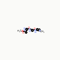 CCOC(=O)C1Nc2ccc(C(=O)NCc3cccc(C(=O)Nc4ccc5c(c4)CN(C)CC5)c3)cc2C2C=CCC12